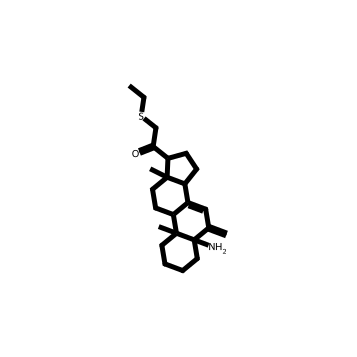 C=C1C=C2C3CCC(C(=O)CSCC)C3(C)CCC2C2(C)CCCCC12N